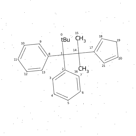 CC(C)(C)C(c1ccccc1)(c1ccccc1)C(C)(C)C1=CCC=C1